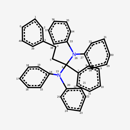 c1ccc(CCC(c2ccccc2)(N(c2ccccc2)c2ccccc2)N(c2ccccc2)c2ccccc2)cc1